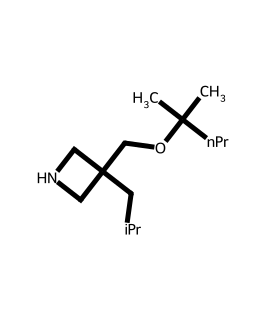 CCCC(C)(C)OCC1(CC(C)C)CNC1